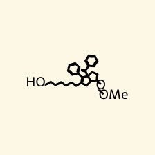 C=C(c1ccccc1)C12CCC(OCOC)C1CC(CCCCCCCO)=C2c1ccccc1